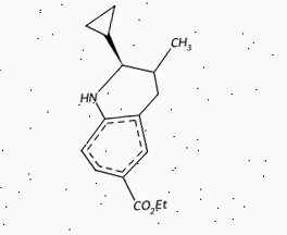 CCOC(=O)c1ccc2c(c1)CC(C)[C@H](C1CC1)N2